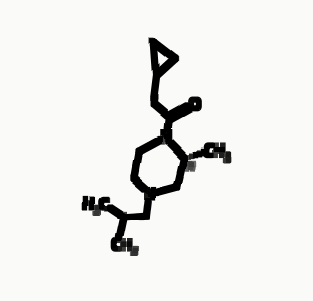 C[C](C)CN1CCN(C(=O)CC2CC2)[C@H](C)C1